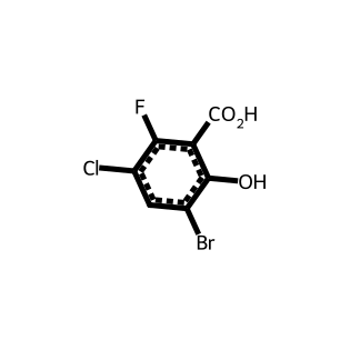 O=C(O)c1c(O)c(Br)cc(Cl)c1F